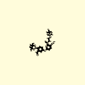 [C-]#[N+]c1ccc(Oc2ccc(B3OC(C)(C)C(C)(C)O3)c(C=O)c2)nc1N(C)CCO[Si](C)(C)C(C)(C)C